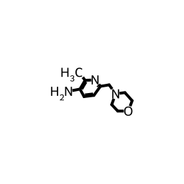 Cc1nc(CN2CCOCC2)ccc1N